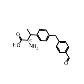 CC(c1ccc(Cc2ccc(C=O)cc2)cc1)[C@H](N)C(=O)O